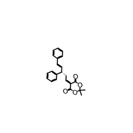 CC1(C)OC(=O)C(=CC[C@@H](/C=C/c2ccccc2)c2ccccc2)C(=O)O1